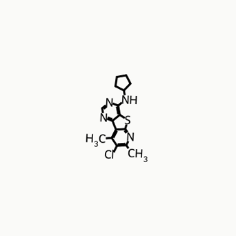 Cc1nc2sc3c(NC4CCCC4)ncnc3c2c(C)c1Cl